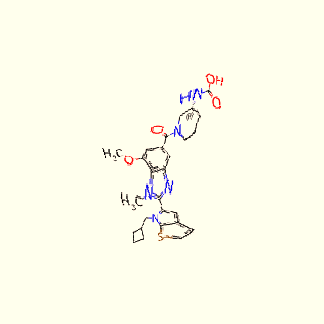 COc1cc(C(=O)N2CCC[C@@H](NC(=O)O)C2)cc2nc(-c3cc4ccsc4n3CC3CCC3)n(C)c12